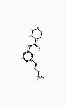 COC/C=C/c1cccc(NC(=O)C2CCCCC2)c1